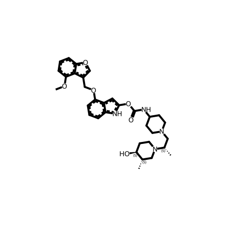 COc1cccc2occ(COc3cccc4[nH]c(OC(=O)NC5CCN(C[C@H](C)N6CC[C@H](O)[C@@H](C)C6)CC5)cc34)c12